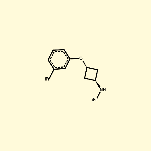 CC(C)N[C@H]1C[C@H](Oc2cccc(C(C)C)c2)C1